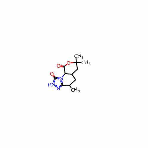 CC1CC2CC(C)(C)OC(=O)C2n2c1n[nH]c2=O